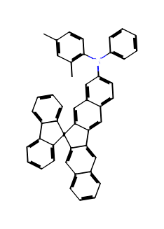 Cc1ccc(N(c2ccccc2)c2ccc3cc4c(cc3c2)C2(c3ccccc3-c3ccccc32)c2cc3ccccc3cc2-4)c(C)c1